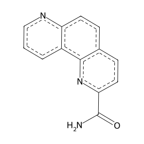 NC(=O)c1ccc2ccc3ncccc3c2n1